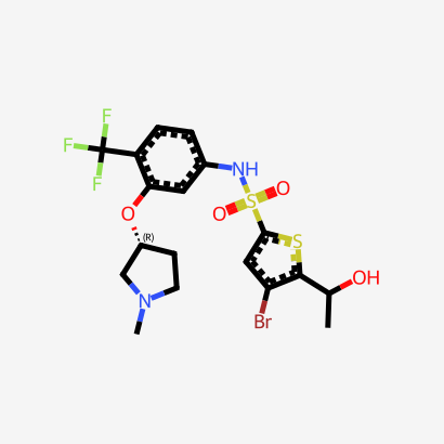 CC(O)c1sc(S(=O)(=O)Nc2ccc(C(F)(F)F)c(O[C@@H]3CCN(C)C3)c2)cc1Br